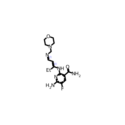 CC/C(=C\C=N/CN1CCOCC1)Nc1nc(N)c(F)cc1C(N)=O